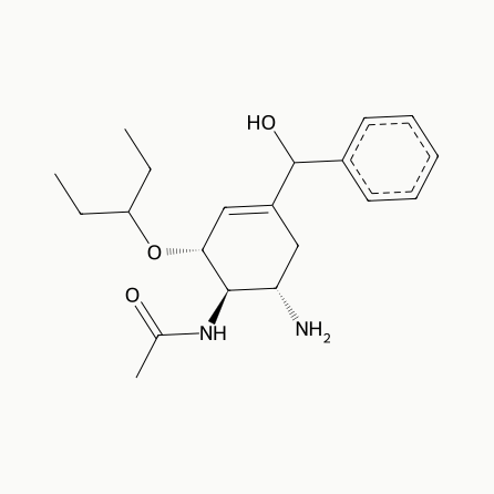 CCC(CC)O[C@@H]1C=C(C(O)c2ccccc2)C[C@H](N)[C@H]1NC(C)=O